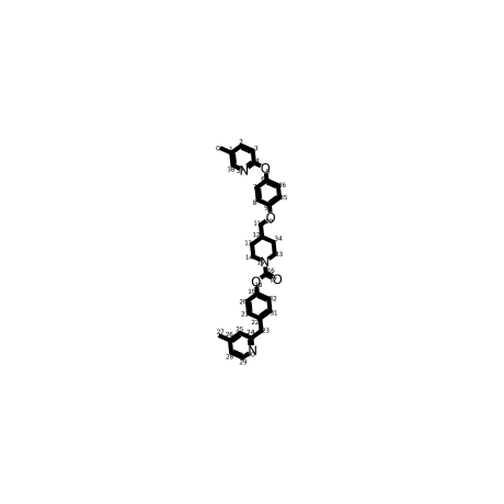 Cc1ccc(Oc2ccc(OCC3CCN(C(=O)Oc4ccc(Cc5cc(C)ccn5)cc4)CC3)cc2)nc1